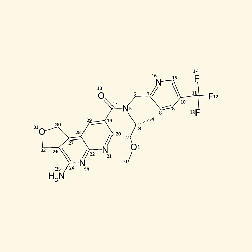 COC[C@@H](C)N(Cc1ccc(C(F)(F)F)cn1)C(=O)c1cnc2nc(N)c3c(c2c1)COC3